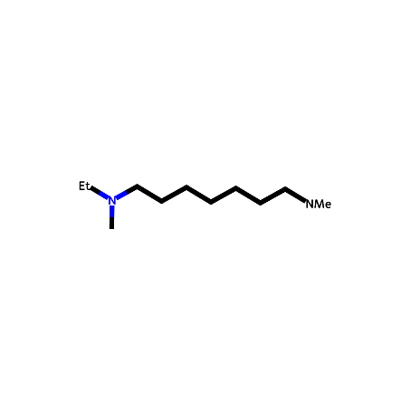 CCN(C)CCCCCCCNC